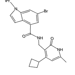 Cc1cc(C2CCC2)c(CNC(=O)c2cc(Br)cc3c2ccn3C(C)C)c(=O)[nH]1